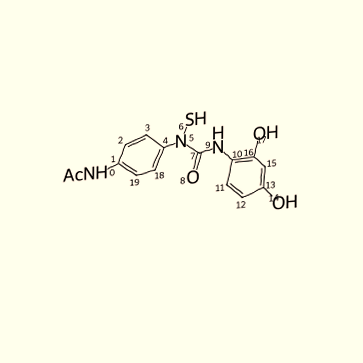 CC(=O)Nc1ccc(N(S)C(=O)Nc2ccc(O)cc2O)cc1